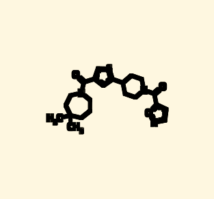 CC1(C)CCCN(C(=O)c2csc(C3CCN(C(=O)c4ccno4)CC3)c2)CC1